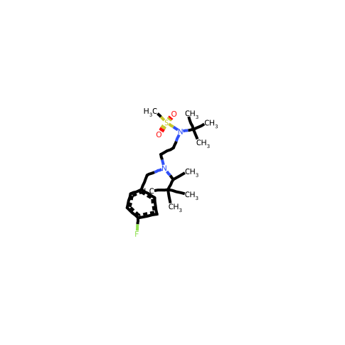 CC(N(CCN(C(C)(C)C)S(C)(=O)=O)Cc1ccc(F)cc1)C(C)(C)C